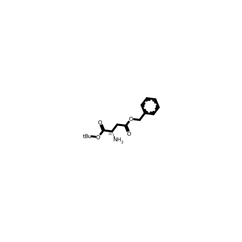 CC(C)(C)OC(=O)[C@@H](N)CC(=O)OCc1ccccc1